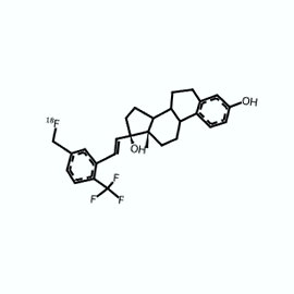 C[C@]12CCC3c4ccc(O)cc4CCC3C1CC[C@@]2(O)/C=C/c1cc(C[18F])ccc1C(F)(F)F